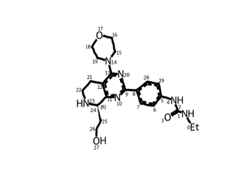 CCNC(=O)Nc1ccc(-c2nc3c(c(N4CCOCC4)n2)CCN[C@@H]3CCO)cc1